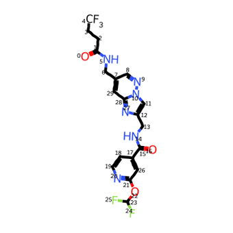 O=C(CCC(F)(F)F)NCc1cnn2cc(CNC(=O)c3ccnc(OC(F)F)c3)nc2c1